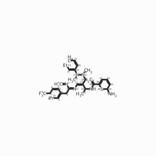 C=N/C(CC(/C=C\CC(F)(F)F)=C/C(C)C)=N\C=C(\CN(C)N(C)C(/C=C\C)=C/CC)C(C)NC(=C)C1=CC=CC(N)S1